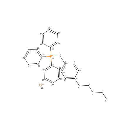 CCCCCc1ccc(C[P+](c2ccccc2)(c2ccccc2)c2ccccc2)cc1.[Br-]